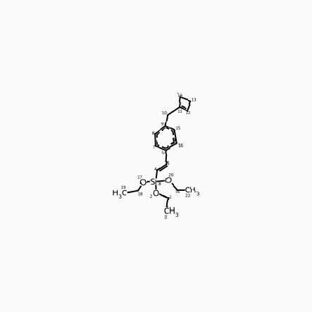 CCO[Si](C=Cc1ccc(CC2=CCC2)cc1)(OCC)OCC